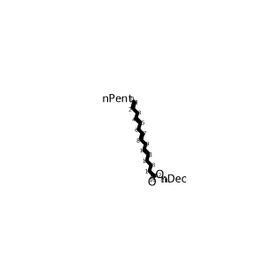 CCCCCC=CCC=CCC=CCC=CCCCC(=O)OCCCCCCCCCC